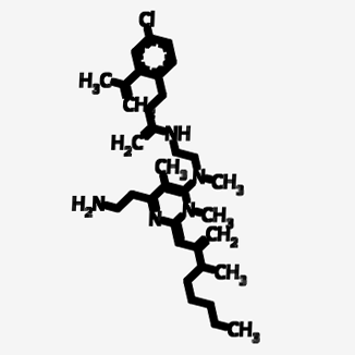 C=C(CCc1ccc(Cl)cc1C(=C)C)NCCN(C)C1=C(C)C(CCN)=N/C(=C/C(=C)C(C)CCCCC)N1C